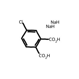 O=C(O)c1ccc(Cl)cc1C(=O)O.[NaH].[NaH]